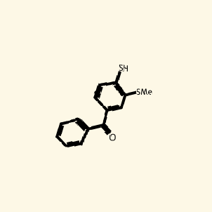 CSc1cc(C(=O)c2ccccc2)ccc1S